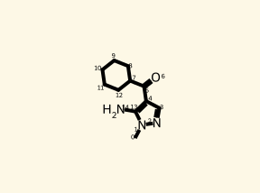 Cn1ncc(C(=O)C2CCCCC2)c1N